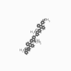 CCC1(C)c2cc(-c3ccc4c(c3)C(C)(C)c3cc(-c5c6ccccc6c(-c6ccc(OC)cc6)c6ccccc56)ccc3-4)ccc2-c2ccc(-c3c4ccccc4c(-c4ccc5c(c4)C(C)(C)c4ccccc4-5)c4ccccc34)cc21